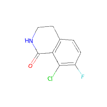 O=C1NCCc2ccc(F)c(Cl)c21